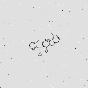 Cc1cccnc1[C@H](NC(=O)c1cc2cccc(C)c2[nH]1)C1CC1